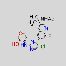 CC(=O)NC(C)(C)c1cnc2c(F)cc(-c3nc(N[C@@H]4CCOC[C@H]4O)ncc3Cl)cc2c1